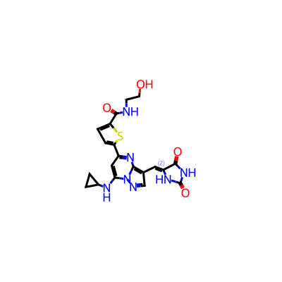 O=C1NC(=O)/C(=C/c2cnn3c(NC4CC4)cc(-c4ccc(C(=O)NCCO)s4)nc23)N1